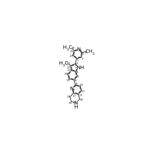 Cc1cc(-c2[nH]c3cc(-c4ccc5c(n4)CCNC5)ccc3c2C)cc(C)n1